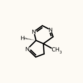 CC12C=NC=N[C@@H]1N=CC2